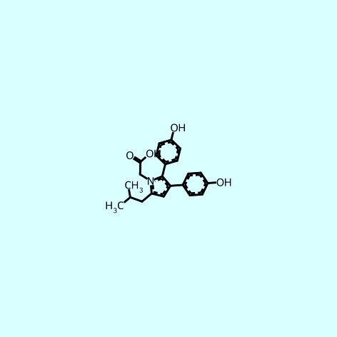 CC(C)Cc1cc(-c2ccc(O)cc2)c(-c2ccc(O)cc2)n1CC(=O)O